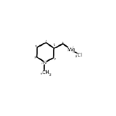 CN1CCCC([CH2][Mg][Cl])C1